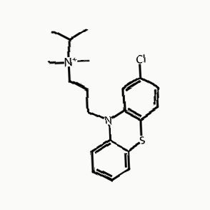 CC(C)[N+](C)(C)CCCN1c2ccccc2Sc2ccc(Cl)cc21